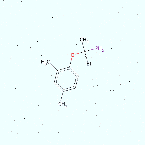 CCC(C)(P)Oc1ccc(C)cc1C